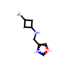 CC(C)C1CC(NCc2cocn2)C1